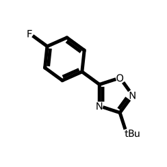 CC(C)(C)c1noc(-c2ccc(F)cc2)n1